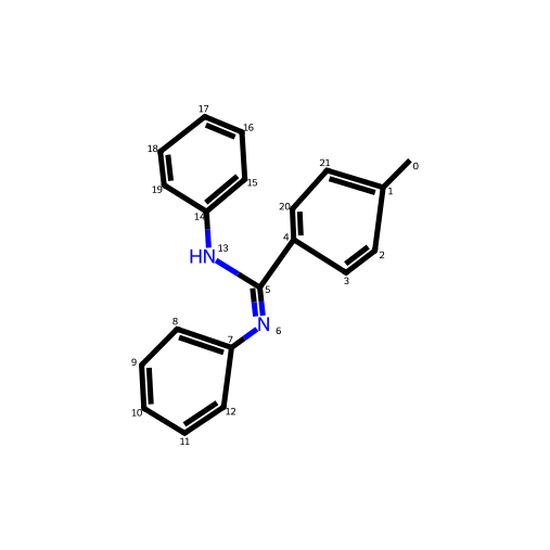 Cc1ccc(C(=Nc2ccccc2)Nc2ccccc2)cc1